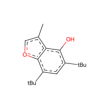 Cc1coc2c(C(C)(C)C)cc(C(C)(C)C)c(O)c12